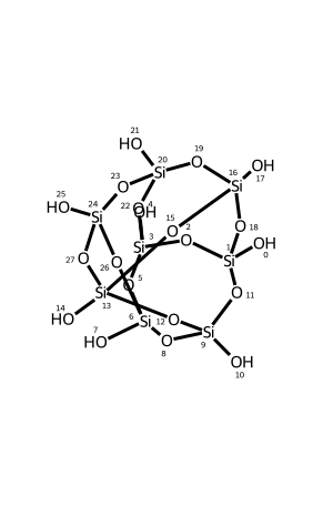 O[Si]12O[Si]3(O)O[Si]4(O)O[Si](O)(O1)O[Si]1(O)O[Si](O)(O2)O[Si](O)(O3)O[Si](O)(O4)O1